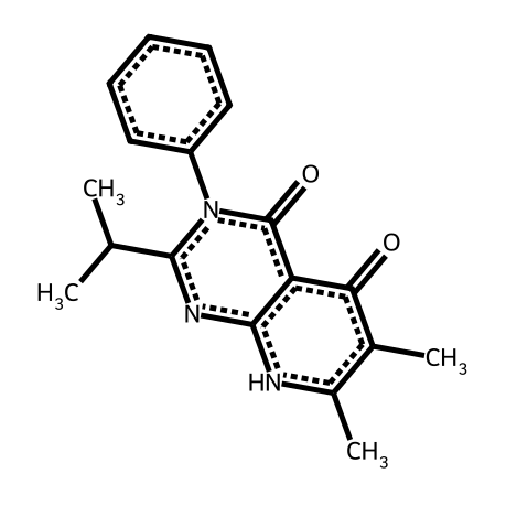 Cc1[nH]c2nc(C(C)C)n(-c3ccccc3)c(=O)c2c(=O)c1C